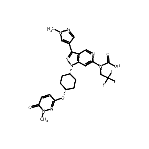 Cn1cc(-c2nn([C@H]3CC[C@@H](Oc4ccc(=O)n(C)n4)CC3)c3cc(N(CC(F)(F)F)C(=O)O)ncc23)cn1